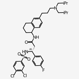 CC(C)CN(CCCc1ccc2c(c1)CCCC2NC(=O)C[C@@H](NS(=O)(=O)c1ccc(Cl)c(Cl)c1)c1ccc(F)cc1)CC(C)C